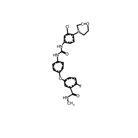 CNC(=O)c1cc(Oc2ccc(NC(=O)Nc3ccc(N4CCOCC4)c(Cl)c3)cc2)ccc1F